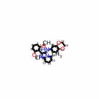 COc1cccc(OC)c1-c1nc2cccc(C)n2c1Nc1ccc2c(c1)OCCO2